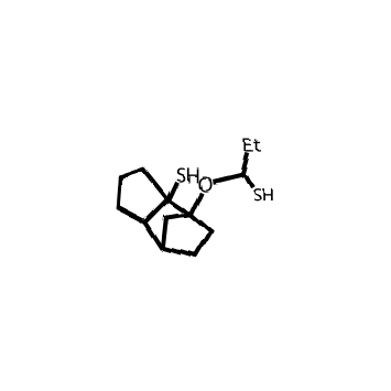 CCC(S)OC12CCC(C1)C1CCCC12S